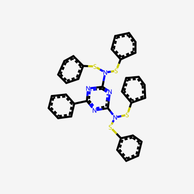 c1ccc(SN(Sc2ccccc2)c2nc(-c3ccccc3)nc(N(Sc3ccccc3)Sc3ccccc3)n2)cc1